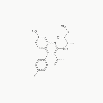 C=C(C)c1c(N[C@@H](C)C(=O)OC(C)(C)C)nc2cc(O)ccc2c1-c1ccc(F)cc1